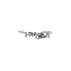 CCOC(=O)c1cn(CC(=O)[C@H]2CC[C@@]3(C)[C@@H]4CC[C@@H]5C[C@](C)(O)CC[C@]5(C)[C@H]4CC[C@]23C)nn1